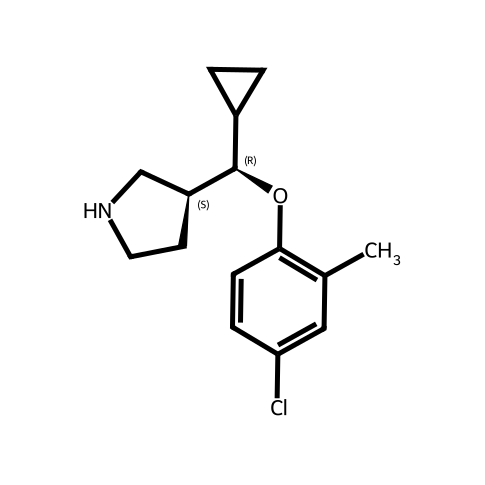 Cc1cc(Cl)ccc1O[C@H](C1CC1)[C@H]1CCNC1